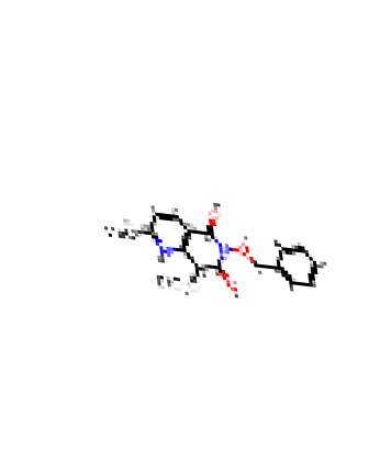 CCOC(=O)C1C(=O)N(OCc2ccccc2)C(=O)c2ccc(OC)nc21